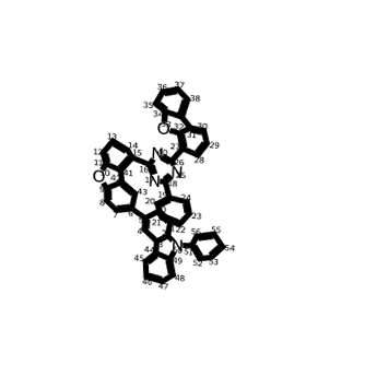 C1=CC2C(C=C1c1ccc3oc4cccc(-c5nc(-c6ccccc6)nc(-c6cccc7c6oc6ccccc67)n5)c4c3c1)c1ccccc1N2c1ccccc1